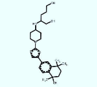 CC1(C)CCC(C)(C)c2cc(-c3csc(N4CCC(NC(CO)CCCO)CC4)n3)ccc21